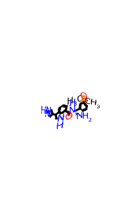 CP(C)(=O)c1cccc([C@H](CN)NC(=O)c2cccc3c(-c4cn[nH]c4)c[nH]c23)c1